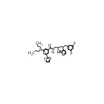 CCCN(CCC)c1cc(C(=O)NCC(O)CC(Cc2cc(F)cc(F)c2)c2ccn[nH]2)cc(-c2ncco2)n1